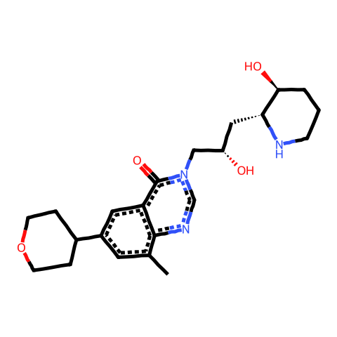 Cc1cc(C2CCOCC2)cc2c(=O)n(C[C@@H](O)C[C@H]3NCCC[C@@H]3O)cnc12